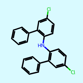 Clc1ccc(Nc2ccc(Cl)cc2-c2ccccc2)c(-c2ccccc2)c1